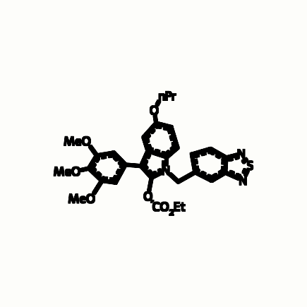 CCCOc1ccc2c(c1)c(-c1cc(OC)c(OC)c(OC)c1)c(OC(=O)OCC)n2Cc1ccc2nsnc2c1